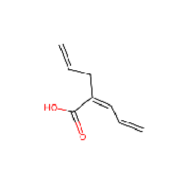 C=CC=C(CC=C)C(=O)O